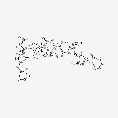 C=C(C)[C@@H]1CC[C@]2(NCCN3CCSCC3)CC[C@]3(C)[C@H](CC[C@@H]4[C@@H]5[C@@H](CC[C@]43C)C(C)(C)C(C3=CCC(COc4cc(-c6ccccc6)nn4C)(C(=O)O)CC3)=C[C@@H]5C)[C@@H]12